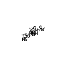 COC(=O)CCNC(=O)[C@@H]1OP(=O)(OCOC(=O)c2scnc2C)OCC1(C)C